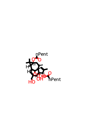 CCCCCC(=O)O[C@H]1C(C)=C[C@]23C(O)[C@@H](C=C(CO)[C@@H](O)[C@]12O)[C@@H]1C(C)(C)[C@]1(OC(=O)CCCCC)C[C@H]3C